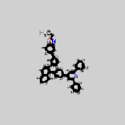 CCc1nc2cc(-c3cccc(-c4ccc5ccccc5c4-c4ccc(-c5cc(-c6ccccc6)nc(-c6ccccc6)c5)cc4)c3)ccc2o1